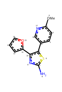 COc1ccc(-c2sc(N)nc2-c2ccco2)cn1